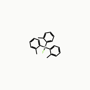 Cc1ccccc1[Si](F)(c1ccccc1C)c1ccccc1C